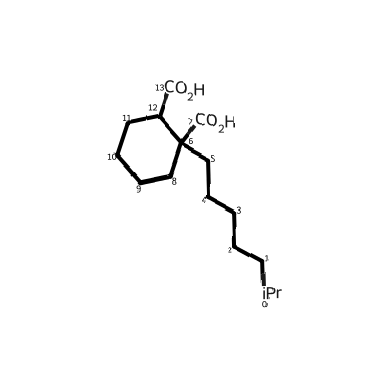 CC(C)CCCCCC1(C(=O)O)CCCCC1C(=O)O